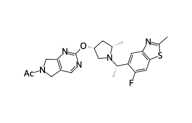 CC(=O)N1Cc2cnc(O[C@@H]3C[C@H](C)N([C@@H](C)c4cc5nc(C)sc5cc4F)C3)nc2C1